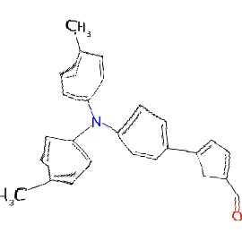 Cc1ccc(N(c2ccc(C)cc2)c2ccc(C3=CC=C(C=O)C3)cc2)cc1